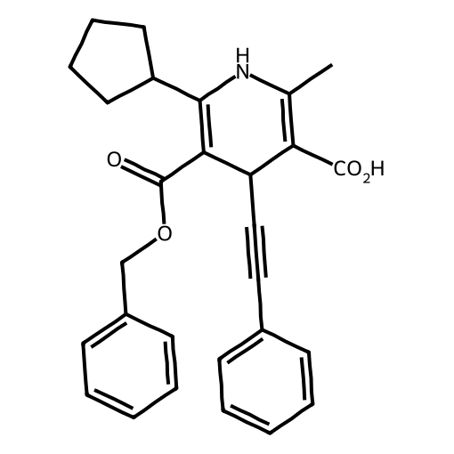 CC1=C(C(=O)O)C(C#Cc2ccccc2)C(C(=O)OCc2ccccc2)=C(C2CCCC2)N1